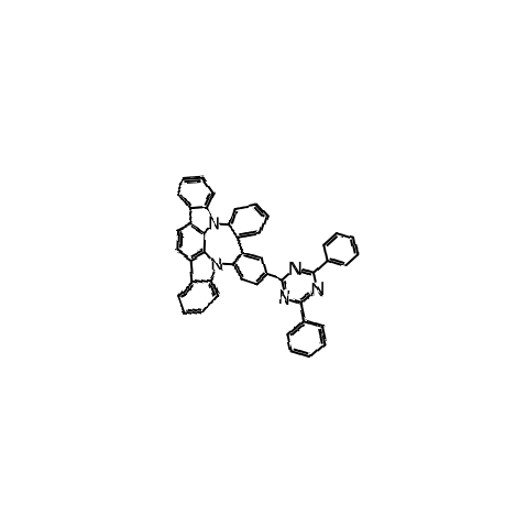 c1ccc(-c2nc(-c3ccccc3)nc(-c3ccc4c(c3)c3ccccc3n3c5ccccc5c5ccc6c7ccccc7n4c6c53)n2)cc1